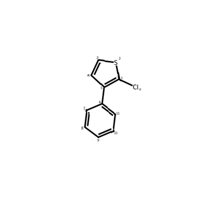 Clc1sccc1-c1[c]cccc1